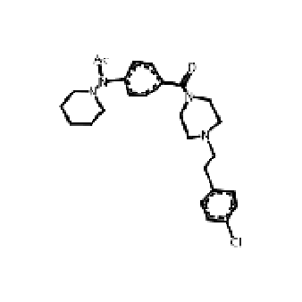 CC(=O)N(c1ccc(C(=O)N2CCN(CCc3ccc(Cl)cc3)CC2)cc1)N1CCCCC1